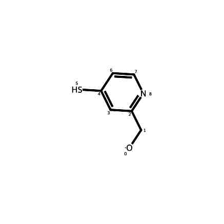 [O]Cc1cc(S)ccn1